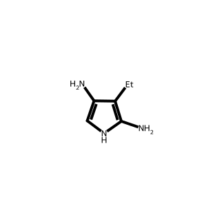 CCc1c(N)c[nH]c1N